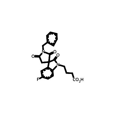 O=C(O)CCCN1C(=O)C2(CC(=O)N(Cc3ccccc3)C2=O)c2cc(F)ccc21